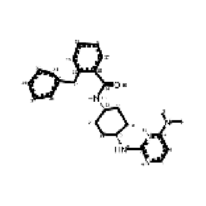 CN(C)c1ccnc(N[C@H]2CC[C@@H](NC(=O)c3ccccc3Cc3ccccc3)CC2)n1